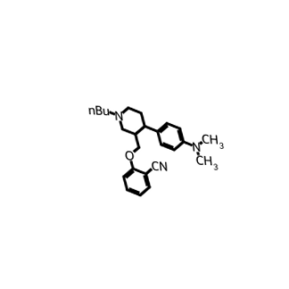 CCCCN1CCC(c2ccc(N(C)C)cc2)C(COc2ccccc2C#N)C1